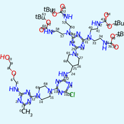 Cc1nc(NCCOCCO)nc(N2CCN(c3nc(Cl)nc(NCC4CCN(c5nc(N(CCNC(=O)OC(C)(C)C)CCNC(=O)OC(C)(C)C)nc(N(CCNC(=O)OC(C)(C)C)CCNC(=O)OC(C)(C)C)n5)CC4)n3)CC2)n1